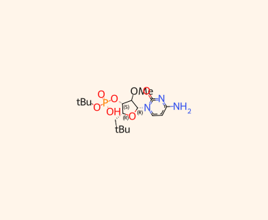 COC1[C@@H](OP(=O)(O)OC(C)(C)C)[C@@H](CC(C)(C)C)O[C@H]1n1ccc(N)nc1=O